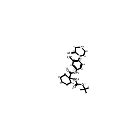 CC(C)(C)OC(=O)NC1(C(=O)Nc2ccc(N3CCOCC3=O)c(Cl)c2)CCCCC1